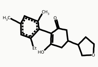 CCc1cc(C)cc(C)c1C1=C(O)CC(C2CCOC2)CC1=O